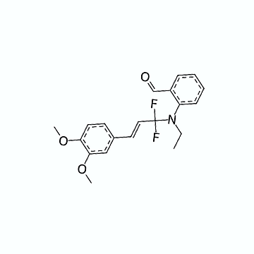 CCN(c1ccccc1C=O)C(F)(F)/C=C/c1ccc(OC)c(OC)c1